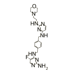 Nc1ncc(F)c(NCc2ccc(CNc3ccnc(NCCN4CCOCC4)n3)cc2)n1